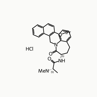 CN[C@@H](C)C(=O)N[C@H]1CCc2ccccc2N(Cc2c(OC(C)C)ccc3ccccc23)C1=O.Cl